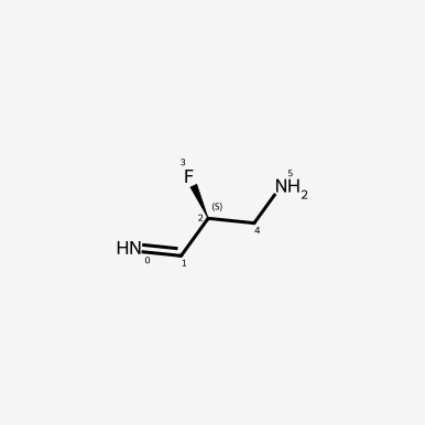 N=C[C@@H](F)CN